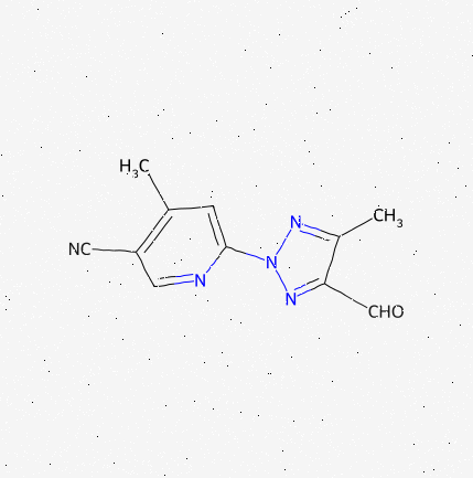 Cc1cc(-n2nc(C)c(C=O)n2)ncc1C#N